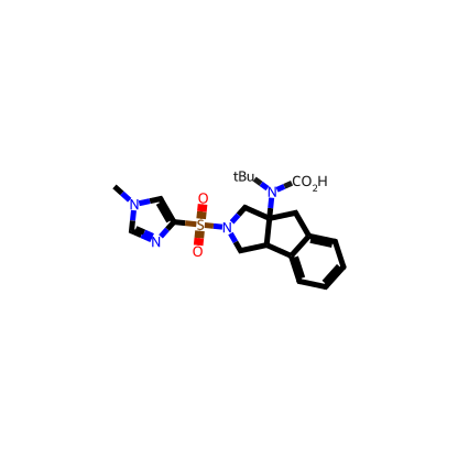 Cn1cnc(S(=O)(=O)N2CC3c4ccccc4CC3(N(C(=O)O)C(C)(C)C)C2)c1